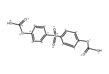 O=C(O)Oc1ccc(S(=O)(=O)c2ccc(OC(=O)O)cc2)cc1